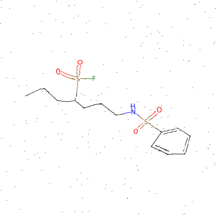 CCCC(CCCNS(=O)(=O)c1ccccc1)S(=O)(=O)F